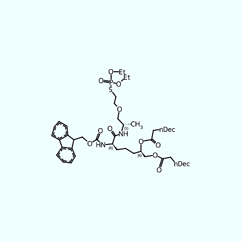 CCCCCCCCCCCC(=O)OC[C@@H](CCC[C@@H](NC(=O)OCC1c2ccccc2-c2ccccc21)C(=O)N[C@@H](C)COCCSP(=O)(OCC)OCC)OC(=O)CCCCCCCCCCC